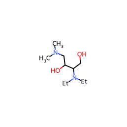 CCN(CC)C(CO)C(O)CN(C)C